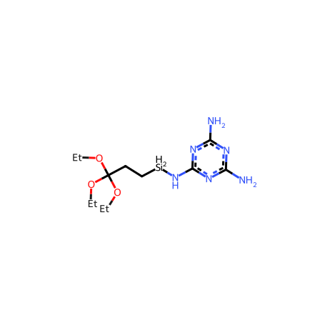 CCOC(CC[SiH2]Nc1nc(N)nc(N)n1)(OCC)OCC